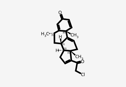 C[C@H]1C[C@@H]2C(=CC[C@]3(C)C(C(=O)CCl)=CC[C@@H]23)[C@@]2(C)C=CC(=O)C=C12